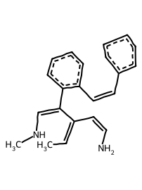 C/C=C(/C=C\N)C(=C/NC)\c1ccccc1/C=C\c1ccccc1